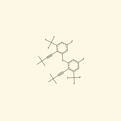 CC(C)(C)C#Cc1c(Sc2cc(F)cc(C(F)(F)F)c2C#CC(C)(C)C)cc(F)cc1C(F)(F)F